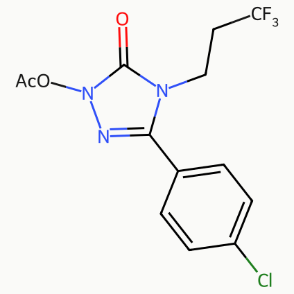 CC(=O)On1nc(-c2ccc(Cl)cc2)n(CCC(F)(F)F)c1=O